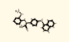 COc1ccccc1C[C@H](C(=O)O)c1ccc(Oc2ccnc3ccccc23)cc1